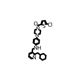 O=C(c1ccc(Cl)s1)N1CCN(c2ccc(NCc3cccnc3CC3CCCCC3)cc2)CC1